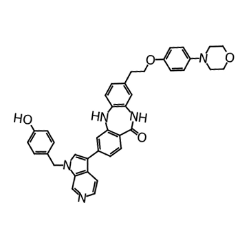 O=C1Nc2cc(CCOc3ccc(N4CCOCC4)cc3)ccc2Nc2cc(-c3cn(Cc4ccc(O)cc4)c4cnccc34)ccc21